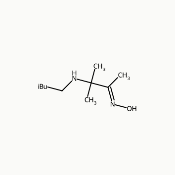 CCC(C)CNC(C)(C)/C(C)=N/O